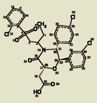 CCC(CS(=O)(=O)c1ccccc1Cl)N1C(=O)[C@@H](CC(=O)O)O[C@H](c2cccc(Cl)c2)[C@H]1c1ccc(Cl)cc1